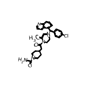 CC1CN(C(c2ccc(Cl)cc2)c2cccc3ncccc23)CCN1C(=O)CC1CCN(C(N)=O)CC1